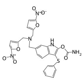 NC(=O)Oc1[nH]c2cc(CN(Cc3ccc([N+](=O)[O-])o3)Cc3ccc([N+](=O)[O-])o3)ccc2c1Sc1ccccc1